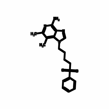 Cc1nc(N)c2ncn(CCCCS(=O)(=O)c3ccccc3)c2c1C